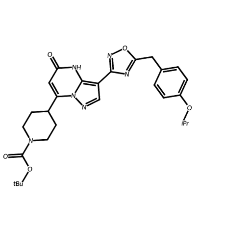 CC(C)Oc1ccc(Cc2nc(-c3cnn4c(C5CCN(C(=O)OC(C)(C)C)CC5)cc(=O)[nH]c34)no2)cc1